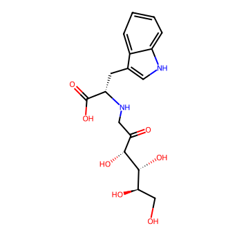 O=C(O)[C@H](Cc1c[nH]c2ccccc12)NCC(=O)[C@@H](O)[C@H](O)[C@H](O)CO